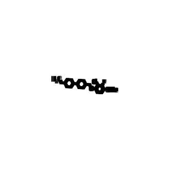 C=CC1CCC(C2CCC(COc3ccc(OC)c(F)c3Cl)CC2)CC1